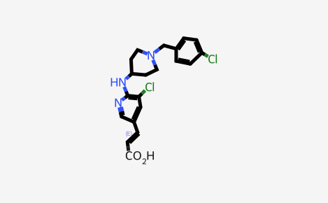 O=C(O)/C=C/c1cnc(NC2CCN(Cc3ccc(Cl)cc3)CC2)c(Cl)c1